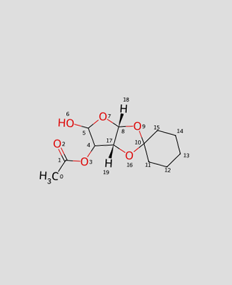 CC(=O)OC1C(O)O[C@@H]2OC3(CCCCC3)O[C@H]12